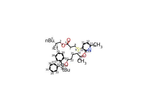 CCCC[C@@H](CC)COC(=O)CCSc1ccc(C)nc1O[C@H](C)CCCCO[Si](c1ccccc1)(c1ccccc1)C(C)(C)C